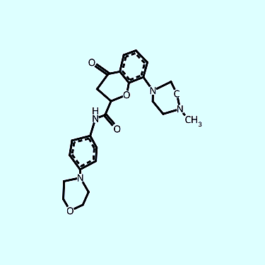 CN1CCN(c2cccc3c2OC(C(=O)Nc2ccc(N4CCOCC4)cc2)CC3=O)CC1